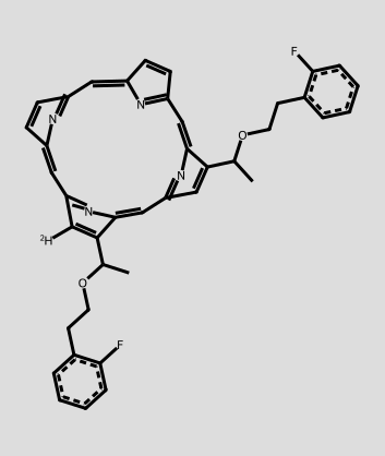 [2H]C1=C(C(C)OCCc2ccccc2F)C2=CC3=NC(=CC4=NC(=CC5=NC(=CC1=N2)C=C5)C=C4)C(C(C)OCCc1ccccc1F)=C3